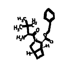 CC(C)(C)[C@H](N)C(=O)N1C[C@@H]2CC[C@@H]2[C@H]1C(=O)OCc1ccccc1